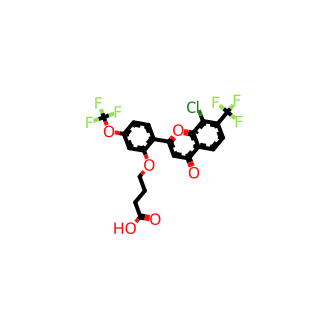 O=C(O)CCCOc1cc(OC(F)(F)F)ccc1-c1cc(=O)c2ccc(C(F)(F)F)c(Cl)c2o1